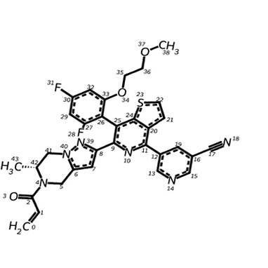 C=CC(=O)N1Cc2cc(-c3nc(-c4cncc(C#N)c4)c4ccsc4c3-c3c(F)cc(F)cc3OCCOC)nn2C[C@H]1C